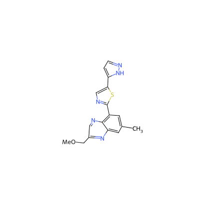 COCc1cnc2c(-c3ncc(-c4ccn[nH]4)s3)cc(C)cc2n1